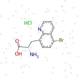 Cl.N[C@@H](Cc1ccc(Br)c2cccnc12)C(=O)O